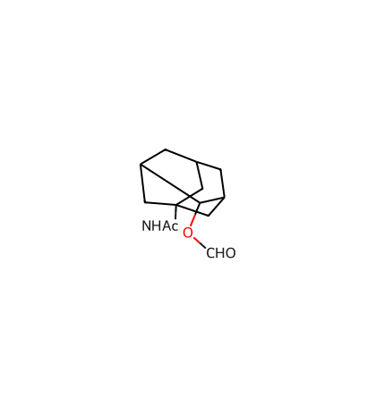 CC(=O)NC12CC3CC(C1)C(OC=O)C(C3)C2